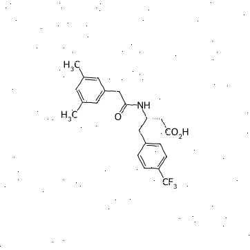 Cc1cc(C)cc(CC(=O)N[C@H](CC(=O)O)Cc2ccc(C(F)(F)F)cc2)c1